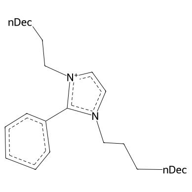 CCCCCCCCCCCCCn1cc[n+](CCCCCCCCCCCC)c1-c1ccccc1